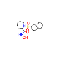 O=C(NO)C1CC=CCCN1S(=O)(=O)c1ccc2ccccc2c1